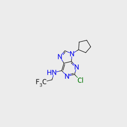 FC(F)(F)CNc1nc(Cl)nc2c1ncn2C1CCCC1